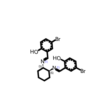 Oc1ccc(Br)cc1/C=N/[C@H]1CCCC[C@@H]1/N=C/c1cc(Br)ccc1O